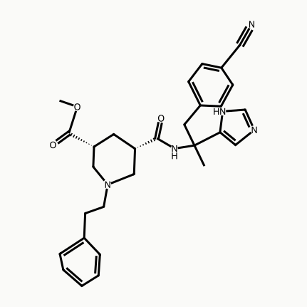 COC(=O)[C@@H]1C[C@H](C(=O)NC(C)(Cc2ccc(C#N)cc2)c2cnc[nH]2)CN(CCc2ccccc2)C1